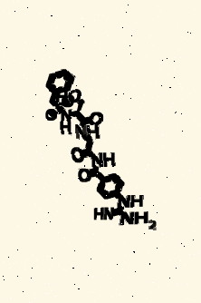 N=C(N)Nc1ccc(C(=O)NC(=O)CNC(=O)[C@H](CO)NS(=O)(=O)Cc2ccccc2)cc1